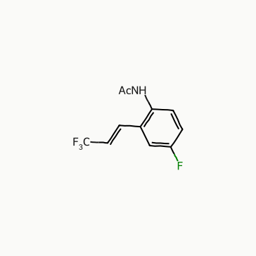 CC(=O)Nc1ccc(F)cc1/C=C/C(F)(F)F